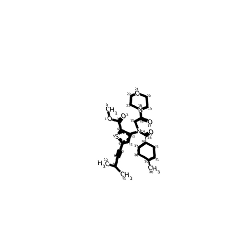 COC(=O)c1sc(C#CC(C)C)cc1N(CC(=O)N1CCOCC1)C(=O)[C@H]1CC[C@H](C)CC1